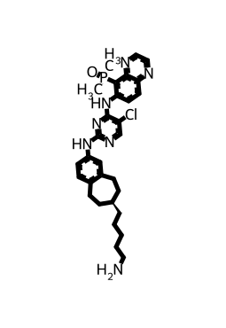 CP(C)(=O)c1c(Nc2nc(Nc3ccc4c(c3)CC[C@@H](CCCCCN)CC4)ncc2Cl)ccc2nccnc12